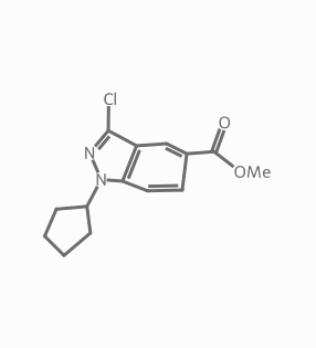 COC(=O)c1ccc2c(c1)c(Cl)nn2C1CCCC1